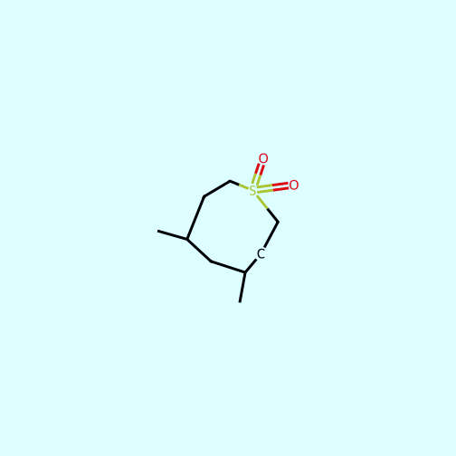 CC1CCS(=O)(=O)CCC(C)C1